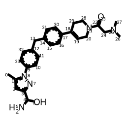 Cc1cc(C(N)O)nn1-c1ccc(Cc2ccc(C3=CCN(C(=O)CN(C)C)CC3)cc2)cc1